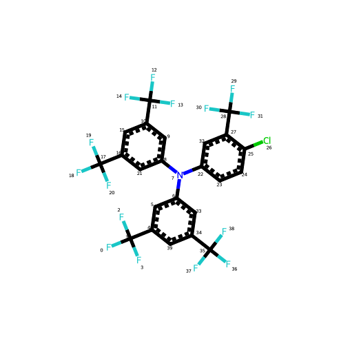 FC(F)(F)c1cc(N(c2cc(C(F)(F)F)cc(C(F)(F)F)c2)c2ccc(Cl)c(C(F)(F)F)c2)cc(C(F)(F)F)c1